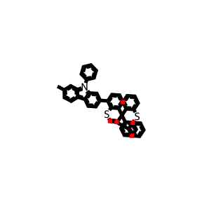 Cc1ccc2c3ccc(-c4cccc5c4Sc4cccc(-c6ccccc6)c4C54c5ccccc5Sc5ccccc54)cc3n(-c3ccccc3)c2c1